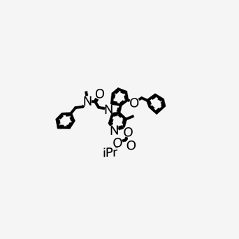 Cc1c(OC(=O)OC(C)C)ncc2c1c1c(OCc3ccccc3)cccc1n2CC(=O)N(C)CCc1ccccc1